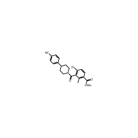 CCc1ccc(C(=O)OC)c(C)c1C(=O)N1CCC(c2ccc(C#N)cc2)CC1